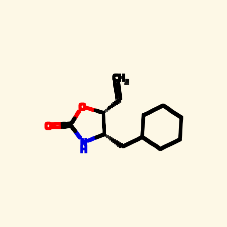 C=C[C@H]1OC(=O)N[C@H]1CC1CCCCC1